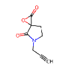 C#CCN1CCC2(OC2=O)C1=O